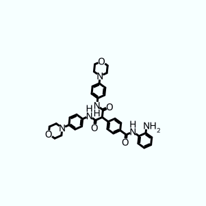 Nc1ccccc1NC(=O)c1ccc(C(C(=O)Nc2ccc(N3CCOCC3)cc2)C(=O)Nc2ccc(N3CCOCC3)cc2)cc1